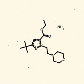 CCOC(=O)c1cc(C(C)(C)C)nn1CCN1CCOCC1.N